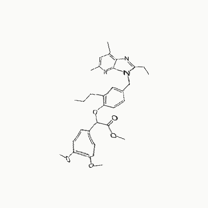 CCCc1cc(Cn2c(CC)nc3c(C)cc(C)nc32)ccc1OC(C(=O)OC)c1ccc(OC)c(OC)c1